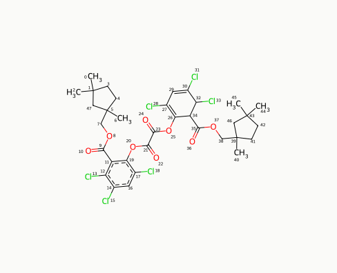 CC1(C)CCC(C)(COC(=O)c2c(Cl)c(Cl)cc(Cl)c2OC(=O)C(=O)OC2=C(Cl)C=C(Cl)C(Cl)C2C(=O)OCC2(C)CCC(C)(C)C2)C1